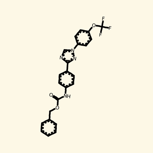 O=C(Nc1ccc(-c2ncn(-c3ccc(OC(F)(F)F)cc3)n2)cc1)OCc1ccccc1